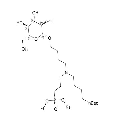 CCCCCCCCCCCCCCN(CCCCO[C@@H]1O[C@H](CO)[C@@H](O)[C@H](O)[C@H]1O)CCCP(=O)(OCC)OCC